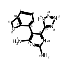 Nc1nc(N)c(-c2cccc3c2OC3)c(-c2nnn[nH]2)n1